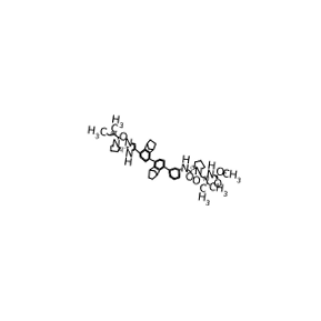 CC[C@H](C)C(=O)N1CCC[C@H]1c1ncc(-c2ccc(-c3ccc(-c4cccc(NC(=O)[C@@H]5CCCN5C(=O)[C@@H](NC(=O)OC)C(C)C)c4)c4c3C3CCC4C3)c3c2C2CCC3C2)[nH]1